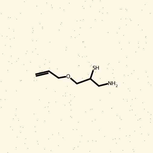 C=CCOCC(S)CN